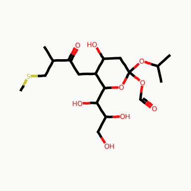 CSCC(C)C(=O)CC1C(O)CC(OC=O)(OC(C)C)OC1C(O)C(O)CO